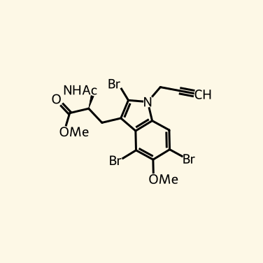 C#CCn1c(Br)c(C[C@H](NC(C)=O)C(=O)OC)c2c(Br)c(OC)c(Br)cc21